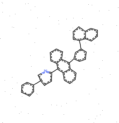 c1ccc(-c2ccc(-c3c4ccccc4c(-c4cccc(-c5cccc6ccccc56)c4)c4ccccc34)nc2)cc1